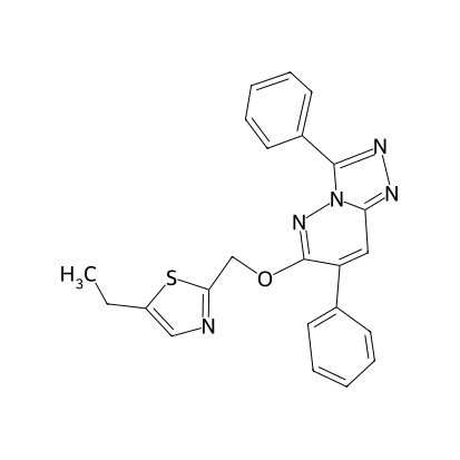 CCc1cnc(COc2nn3c(-c4ccccc4)nnc3cc2-c2ccccc2)s1